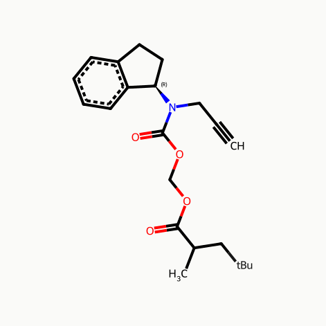 C#CCN(C(=O)OCOC(=O)C(C)CC(C)(C)C)[C@@H]1CCc2ccccc21